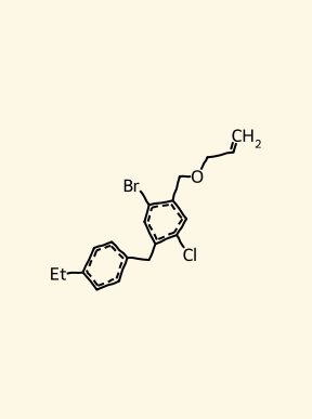 C=CCOCc1cc(Cl)c(Cc2ccc(CC)cc2)cc1Br